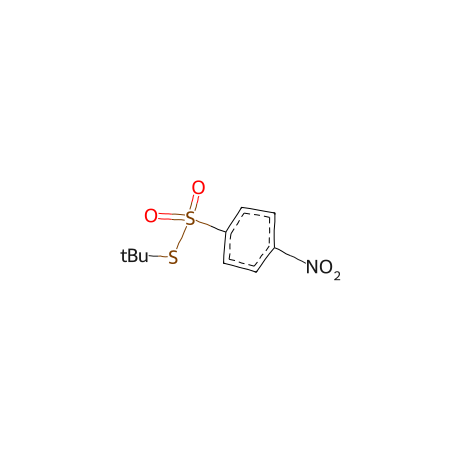 CC(C)(C)SS(=O)(=O)c1ccc([N+](=O)[O-])cc1